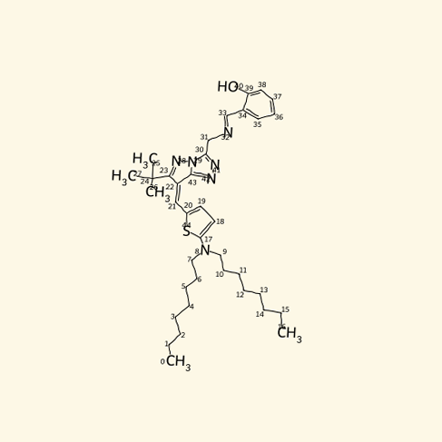 CCCCCCCCN(CCCCCCCC)c1ccc(/C=c2/c(C(C)(C)C)nn3c(C/N=C/c4ccccc4O)nnc23)s1